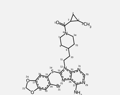 CC1CC1C(=O)N1CCC(CCn2c(Sc3cc4c(cc3Br)OCO4)nc3c(N)ncnc32)CC1